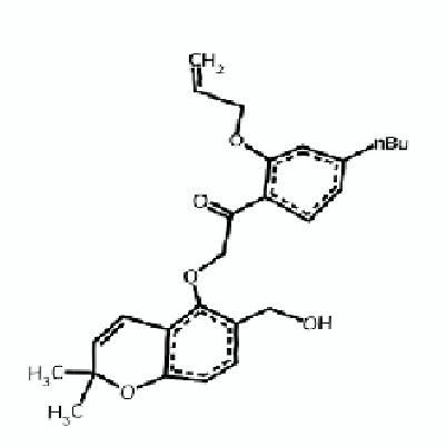 C=CCOc1cc(CCCC)ccc1C(=O)COc1c(CO)ccc2c1C=CC(C)(C)O2